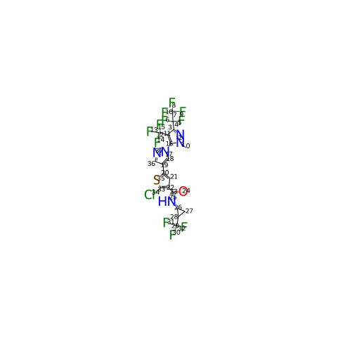 Cn1nc(C(F)(F)C(F)(F)F)c(C(F)(F)F)c1-n1cc(-c2cc(C(=O)NC3CC3C(F)(F)F)c(Cl)s2)cn1